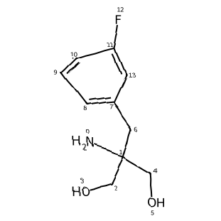 NC(CO)(CO)Cc1cc[c]c(F)c1